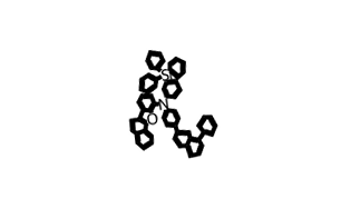 c1ccc(-c2cccc3ccc(-c4ccc(N(c5cccc([Si](c6ccccc6)(c6ccccc6)c6ccccc6)c5)c5cccc6c5oc5c7ccccc7ccc65)cc4)cc23)cc1